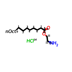 CCCCCCCCCCCCCCCC(=O)OCCN.Cl